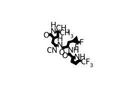 CC1(C)CC(CC(C#N)NC(=O)C(CC2CC2(F)F)NC(=O)c2ccc(C(F)(F)F)[nH]2)C(=O)N1